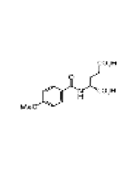 COc1ccc(C(=O)N[C@@H](CCC(=O)O)C(=O)O)cc1